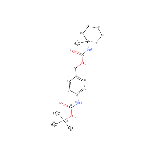 CC1(NC(=O)OCc2ccc(NC(=O)OC(C)(C)C)cc2)CCCCC1